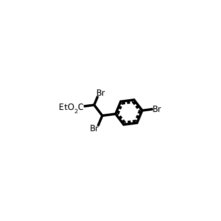 CCOC(=O)C(Br)C(Br)c1ccc(Br)cc1